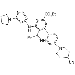 CCOC(=O)c1cc(-c2ccc(N3CCC(C#N)CC3)cc2)c(C(=N)C(C)C)c(Nc2ccnc(N3CCCC3)c2)n1